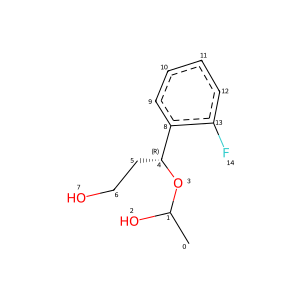 CC(O)O[C@H](CCO)c1ccccc1F